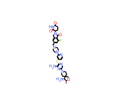 C[C@@H]1OCC2(CCN(c3cnc(Sc4ccnc(N5CCN(Cc6cc(F)c7c(c6)CN(C6CCC(=O)NC6=O)C7=O)CC5)c4)c(N)n3)CC2)[C@@H]1N